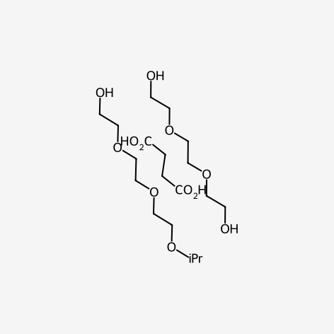 CC(C)OCCOCCOCCO.O=C(O)CCC(=O)O.OCCOCCOCCO